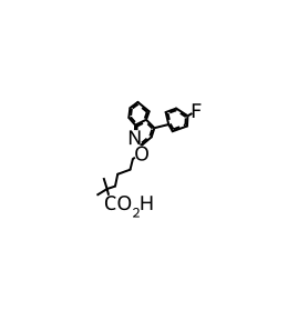 CC(C)(CCCCOc1cc(-c2ccc(F)cc2)c2ccccc2n1)C(=O)O